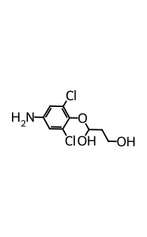 Nc1cc(Cl)c(OC(O)CCO)c(Cl)c1